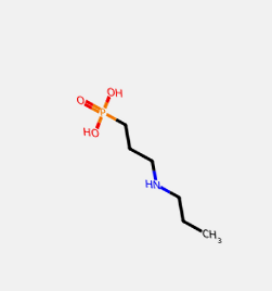 CCCNCCCP(=O)(O)O